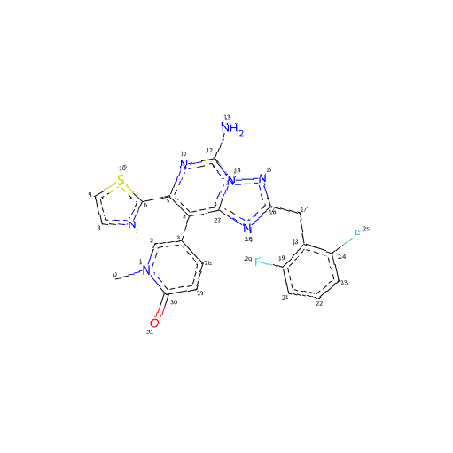 Cn1cc(-c2c(-c3nccs3)nc(N)n3nc(Cc4c(F)cccc4F)nc23)ccc1=O